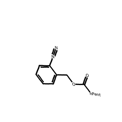 CCCCCC(=O)OCc1ccccc1[N+]#N